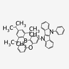 CC(C)c1cc(C(C)C)c(B2c3ccccc3Oc3cc(-n4c5ccccc5c5c4c4ccccc4n5-c4ccccc4)ccc32)c(C(C)C)c1